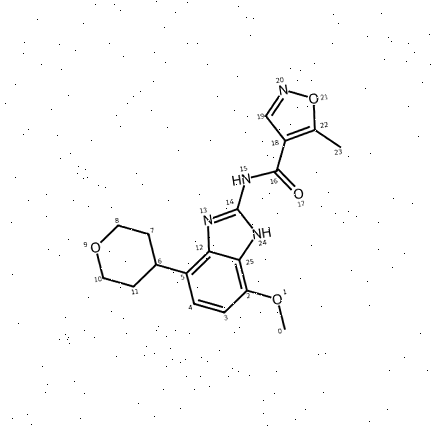 COc1ccc(C2CCOCC2)c2nc(NC(=O)c3cnoc3C)[nH]c12